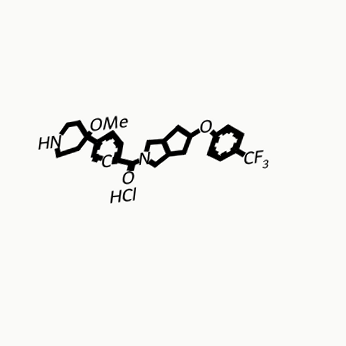 COC1(c2ccc(C(=O)N3CC4CC(Oc5ccc(C(F)(F)F)cc5)CC4C3)cc2)CCNCC1.Cl